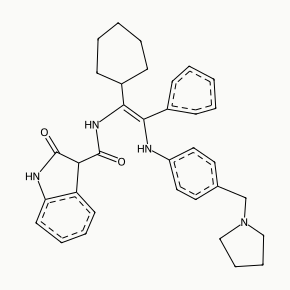 O=C(NC(=C(Nc1ccc(CN2CCCC2)cc1)c1ccccc1)C1CCCCC1)C1C(=O)Nc2ccccc21